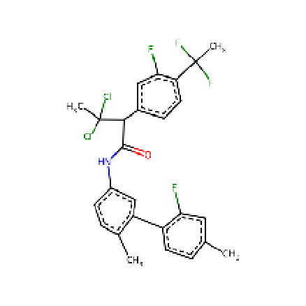 Cc1ccc(-c2cc(NC(=O)C(c3ccc(C(C)(F)F)c(F)c3)C(C)(Cl)Cl)ccc2C)c(F)c1